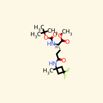 COC(=O)[C@H](CCC(=O)NC1(C)CC(F)(F)C1)NC(=O)OC(C)(C)C